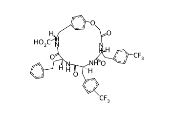 O=C1COc2ccc(cc2)C[C@@H](C(=O)O)NC(=O)[C@@H](CCc2ccccc2)NC(=O)[C@H](Cc2ccc(C(F)(F)F)cc2)NC(=O)[C@@H](Cc2ccc(C(F)(F)F)cc2)N1